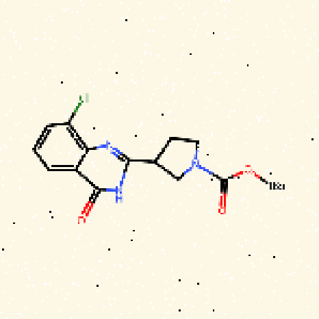 CC(C)(C)OC(=O)N1CCC(c2nc3c(Cl)cccc3c(=O)[nH]2)C1